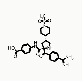 CS(=O)(=O)N1CCC([C@@H]2CN[C@](C(=O)Nc3ccc(C(=O)O)cc3)(C(=O)c3ccc(C(=N)N)cc3)C2)CC1